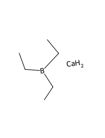 CCB(CC)CC.[CaH2]